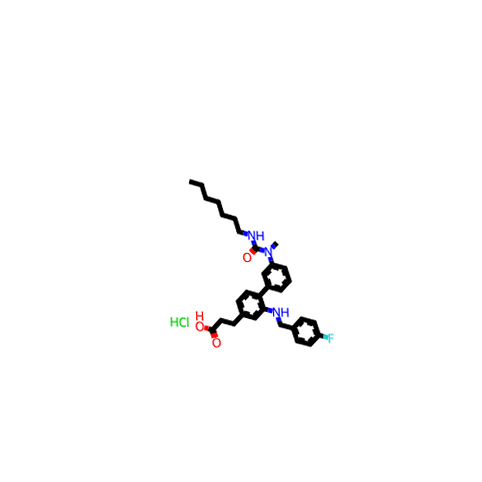 CCCCCCCNC(=O)N(C)c1cccc(-c2ccc(CCC(=O)O)cc2NCc2ccc(F)cc2)c1.Cl